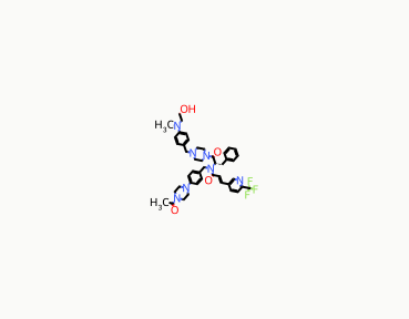 CC(=O)N1CCN(c2ccc(CN(C(=O)C=Cc3ccc(C(F)(F)F)nc3)[C@@H](Cc3ccccc3)C(=O)N3CCN(Cc4ccc(N(C)CCO)cc4)CC3)cc2)CC1